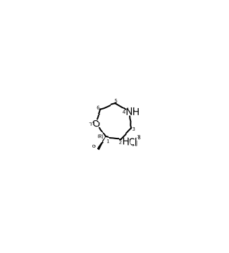 C[C@@H]1CCNCCO1.Cl